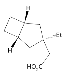 CC[C@@]1(CC(=O)O)C[C@H]2CC[C@H]2C1